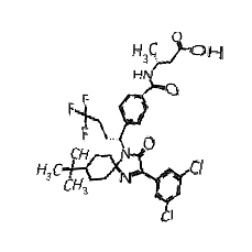 C[C@H](CC(=O)O)NC(=O)c1ccc([C@@H](CCC(F)(F)F)N2C(=O)C(c3cc(Cl)cc(Cl)c3)=NC23CCC(C(C)(C)C)CC3)cc1